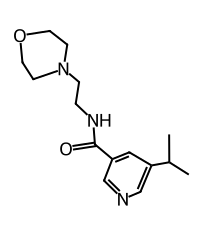 CC(C)c1cncc(C(=O)NCCN2CCOCC2)c1